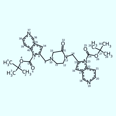 CC(C)(C)OC(=O)n1c(CN2CCN(Cc3cc4cnccc4n3C(=O)OC(C)(C)C)C(=O)C2)cc2cnccc21